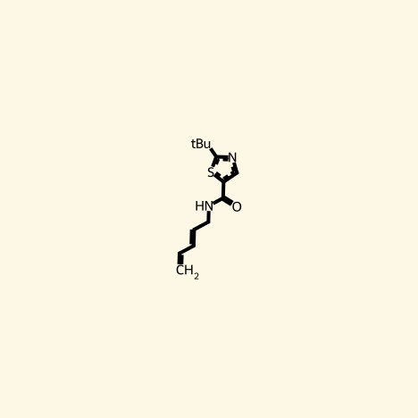 C=C/C=C/CNC(=O)c1cnc(C(C)(C)C)s1